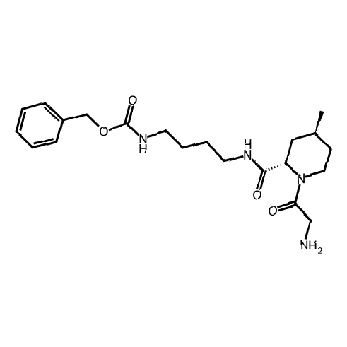 C[C@H]1CCN(C(=O)CN)[C@H](C(=O)NCCCCNC(=O)OCc2ccccc2)C1